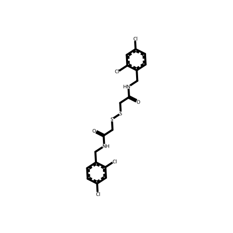 O=C(CSSCC(=O)NCc1ccc(Cl)cc1Cl)NCc1ccc(Cl)cc1Cl